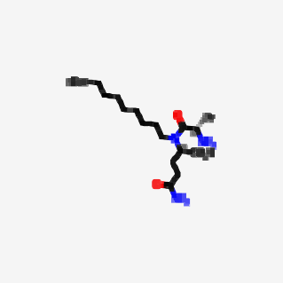 CCCCCCCCCCCCCCCCCCN(C(=O)[C@@H](N)C(C)C)[C@H](CCC(N)=O)C(=O)O